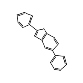 [c]1ccc(-c2cc3cc(-c4ccccc4)ccc3s2)cc1